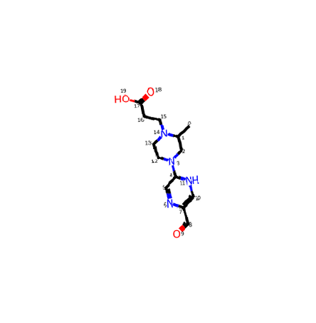 CC1CN(C2C=NC(C=O)=CN2)CCN1CCC(=O)O